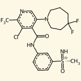 C[S@](=N)(=O)c1cccc(NC(=O)c2c(N3CCCC(F)(F)CC3)cnc(C(F)(F)F)c2Cl)c1